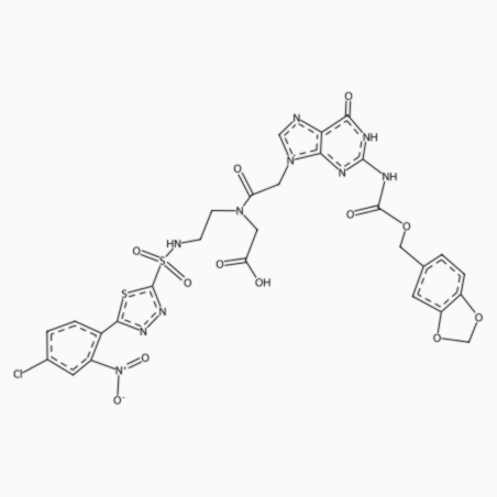 O=C(O)CN(CCNS(=O)(=O)c1nnc(-c2ccc(Cl)cc2[N+](=O)[O-])s1)C(=O)Cn1cnc2c(=O)[nH]c(NC(=O)OCc3ccc4c(c3)OCO4)nc21